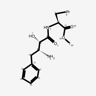 CC(C)C[C@H](NC(=O)[C@@H](O)[C@H](N)Cc1ccccc1)C(=O)OI